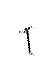 CCCCCCCCCCCCCCCCCCCC1N(CCC)C=CN1C(C)C